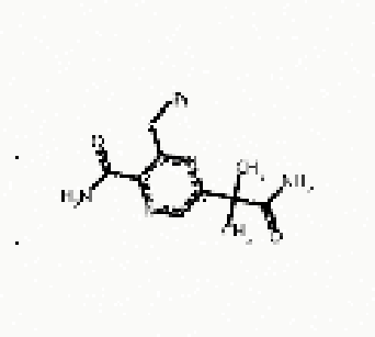 CC(C)Cc1nc(C(C)(C)C(N)=O)cnc1C(N)=O